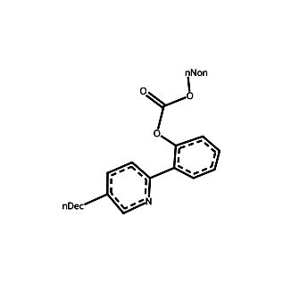 CCCCCCCCCCc1ccc(-c2ccccc2OC(=O)OCCCCCCCCC)nc1